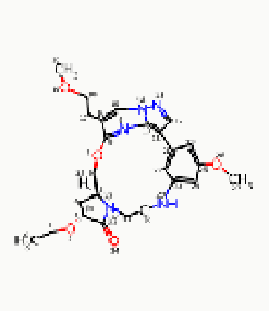 CCO[C@@H]1C[C@H]2COc3nc4c(cnn4cc3CCOC)-c3cc(cc(OC)c3)NCCN2C1=O